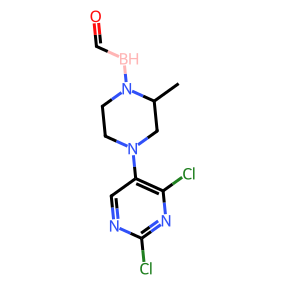 CC1CN(c2cnc(Cl)nc2Cl)CCN1BC=O